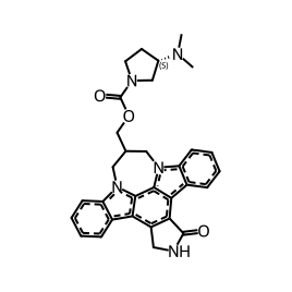 CN(C)[C@H]1CCN(C(=O)OCC2Cn3c4ccccc4c4c5c(c6c7ccccc7n(c6c43)C2)C(=O)NC5)C1